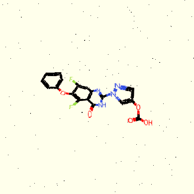 O=C(O)Oc1cnn(-c2nc3cc(F)c(Oc4ccccc4)c(F)c3c(=O)[nH]2)c1